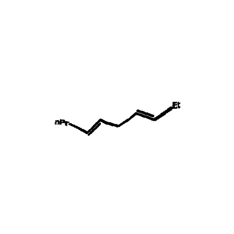 CC/C=C/C/C=C/CCC